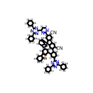 N#Cc1cc2c(cc1-c1nccc(-c3nc(-c4ccccc4)nc(-c4ccccc4)n3)n1)C1(c3cc(-c4ccc(-c5nc(-c6ccccc6)nc(-c6ccccc6)n5)cc4-c4cccc5c4sc4ccccc45)c(C#N)cc3-2)C2CC3CC(C2)CC1C3